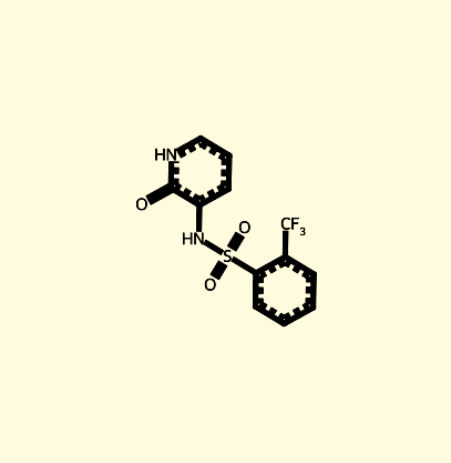 O=c1[nH]cccc1NS(=O)(=O)c1ccccc1C(F)(F)F